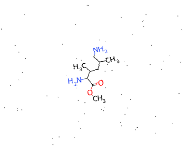 COC(=O)C(N)C(C)CC(C)CN